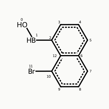 OBc1cccc2cccc(Br)c12